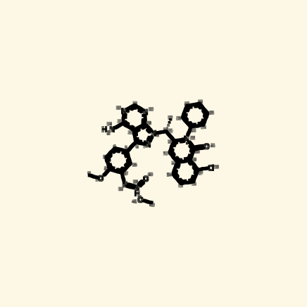 COc1ccc(-c2nn([C@H](C)c3cc4cccc(Cl)c4c(=O)n3-c3ccccc3)c3ncnc(N)c23)cc1N=[SH](=O)OC